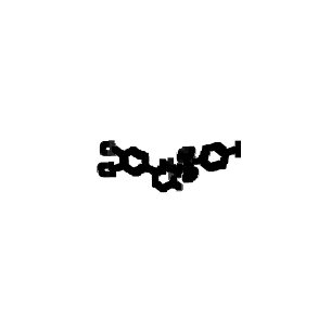 CC1CCC(c2ccc(Cl)c(Cl)c2)=NN1S(=O)(=O)c1ccc(I)cc1